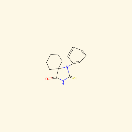 O=C1NC(=S)N(c2ccccc2)C12CCCCC2